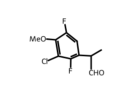 COc1c(F)cc(C(C)C=O)c(F)c1Cl